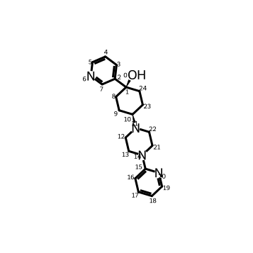 O[C@]1(c2cccnc2)CC[C@H](N2CCN(c3ccccn3)CC2)CC1